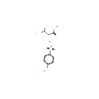 COC(=O)[C@H](NNS(=O)(=O)c1ccc(OC)cc1)C(C)C